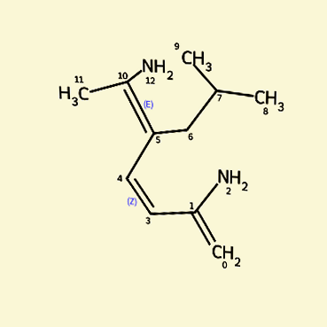 C=C(N)/C=C\C(CC(C)C)=C(/C)N